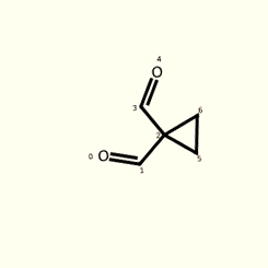 O=CC1(C=O)CC1